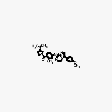 COc1ccc(-c2cnc3c(Nc4ccc(C(=O)N5CCC(N(C)C)C5)c(C)c4)nccn23)cc1